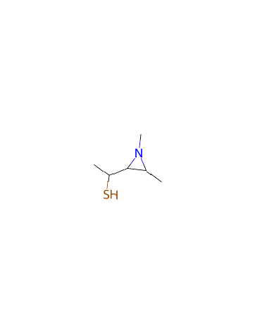 CC(S)C1C(C)N1C